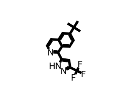 CC(C)(C)c1ccc2c(-c3cc(C(F)(F)F)n[nH]3)nccc2c1